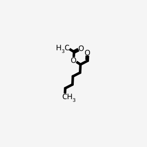 CCCCCC(C=O)OC(C)=O